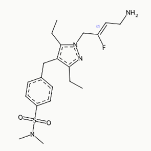 CCc1nn(C/C(F)=C/CN)c(CC)c1Cc1ccc(S(=O)(=O)N(C)C)cc1